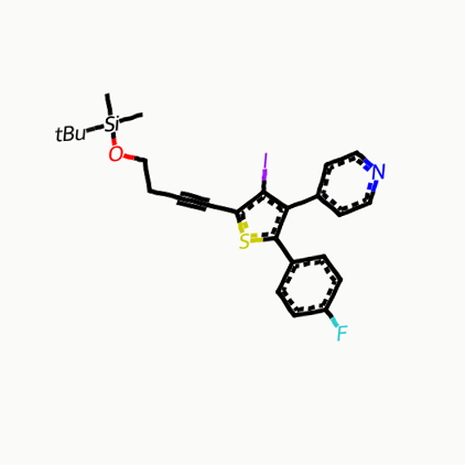 CC(C)(C)[Si](C)(C)OCCC#Cc1sc(-c2ccc(F)cc2)c(-c2ccncc2)c1I